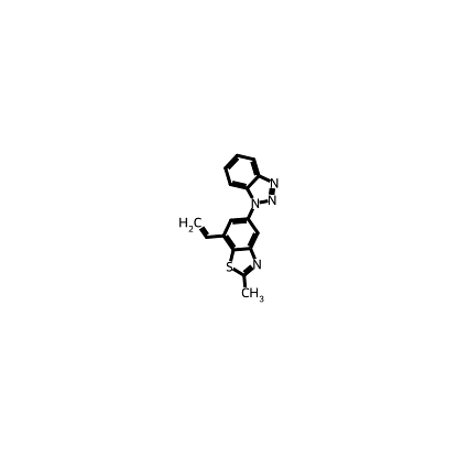 C=Cc1cc(-n2nnc3ccccc32)cc2nc(C)sc12